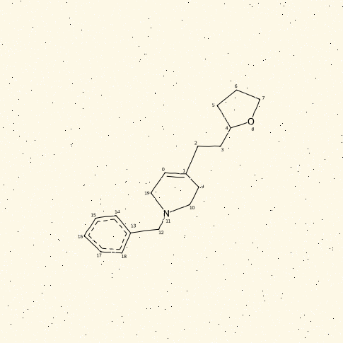 C1=C(CCC2CCCO2)CCN(Cc2ccccc2)C1